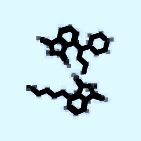 CCCC(c1cccc2c1C(=O)NC2=O)N1CCOCC1.O=C1NC(=O)c2c(CCCCBr)cccc21